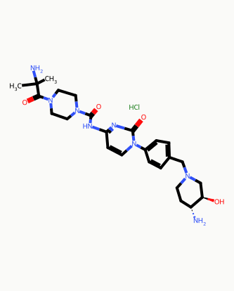 CC(C)(N)C(=O)N1CCN(C(=O)Nc2ccn(-c3ccc(CN4CC[C@@H](N)[C@H](O)C4)cc3)c(=O)n2)CC1.Cl